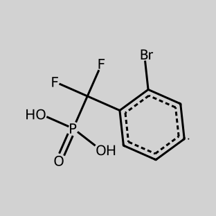 O=P(O)(O)C(F)(F)c1cc[c]cc1Br